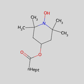 CCCCCCCC(=O)OC1CC(C)(C)N(O)C(C)(C)C1